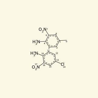 Cc1ccc(N)c([N+](=O)[O-])c1.Nc1ccc(Cl)cc1[N+](=O)[O-]